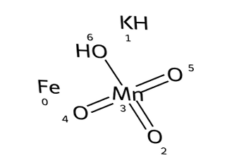 [Fe].[KH].[O]=[Mn](=[O])(=[O])[OH]